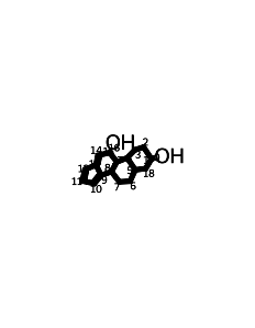 OC1CCC2C(CCC3C4=CC=CC4=CC(O)C32)C1